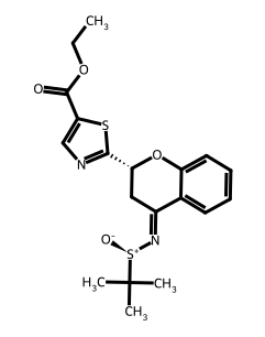 CCOC(=O)c1cnc([C@H]2CC(=N[S@+]([O-])C(C)(C)C)c3ccccc3O2)s1